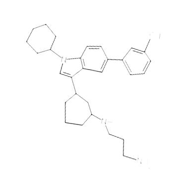 Cc1cccc(-c2ccc3c(c2)c(C2CCCC(NCCCN)C2)cn3C2CCCCC2)c1